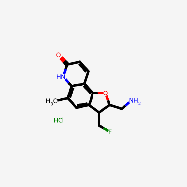 Cc1cc2c(c3ccc(=O)[nH]c13)OC(CN)C2CF.Cl